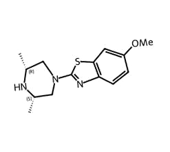 COc1ccc2nc(N3C[C@@H](C)N[C@@H](C)C3)sc2c1